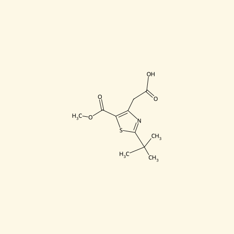 COC(=O)c1sc(C(C)(C)C)nc1CC(=O)O